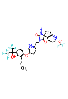 CCCc1cc(C(O)(C(F)(F)F)C(F)(F)F)ccc1Oc1ccc(CCN2C(=O)NC(C)(c3ccc(OC(F)F)nc3)C2=O)nc1